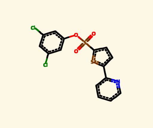 O=S(=O)(Oc1cc(Cl)cc(Cl)c1)c1ccc(-c2ccccn2)s1